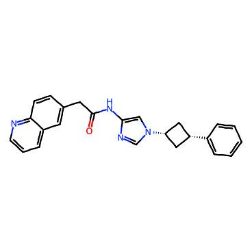 O=C(Cc1ccc2ncccc2c1)Nc1cn([C@H]2C[C@@H](c3ccccc3)C2)cn1